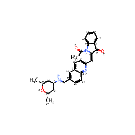 CC(=O)N1/C(=C\c2ccc3cc(CNC4C[C@H](C)O[C@@H](C)C4)ccc3n2)C(=O)c2ccccc21